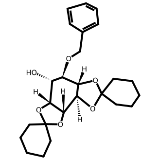 O[C@@H]1[C@@H](OCc2ccccc2)[C@@H]2OC3(CCCCC3)O[C@H]2[C@@H]2OC3(CCCCC3)O[C@H]12